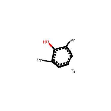 CC(C)c1cccc(C(C)C)c1O.[Ti]